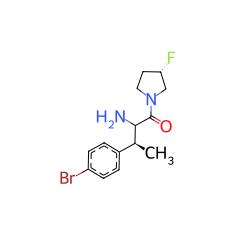 C[C@@H](c1ccc(Br)cc1)C(N)C(=O)N1CC[C@H](F)C1